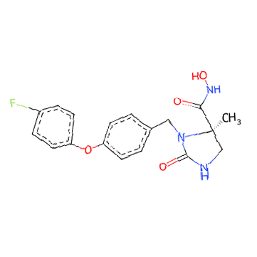 C[C@]1(C(=O)NO)CNC(=O)N1Cc1ccc(Oc2ccc(F)cc2)cc1